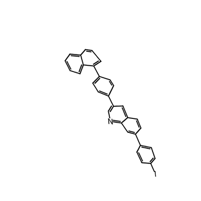 Ic1ccc(-c2ccc3cc(-c4ccc(-c5cccc6ccccc56)cc4)cnc3c2)cc1